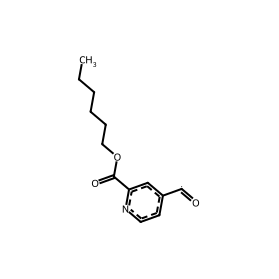 CCCCCCOC(=O)c1cc([C]=O)ccn1